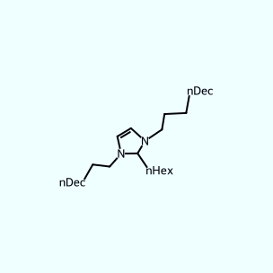 CCCCCCCCCCCCCN1C=CN(CCCCCCCCCCCC)C1CCCCCC